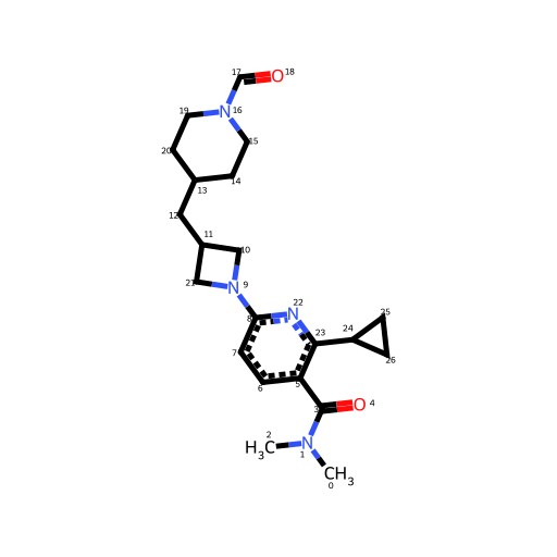 CN(C)C(=O)c1ccc(N2CC(CC3CCN(C=O)CC3)C2)nc1C1CC1